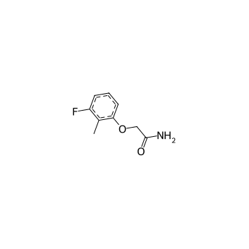 Cc1c(F)cccc1OCC(N)=O